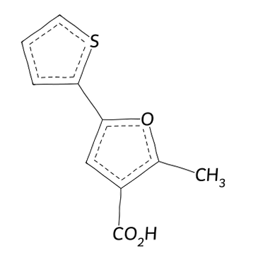 Cc1oc(-c2cccs2)cc1C(=O)O